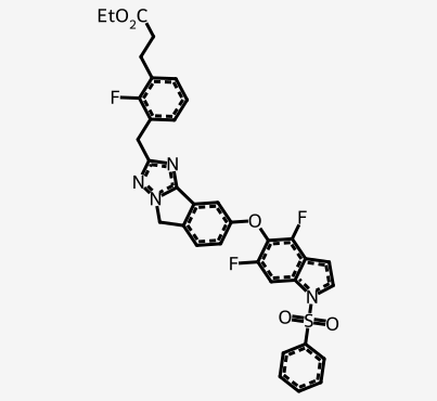 CCOC(=O)CCc1cccc(Cc2nc3n(n2)Cc2ccc(Oc4c(F)cc5c(ccn5S(=O)(=O)c5ccccc5)c4F)cc2-3)c1F